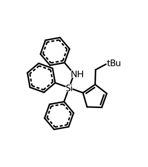 CC(C)(C)CC1=C([Si](Nc2ccccc2)(c2ccccc2)c2ccccc2)CC=C1